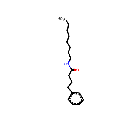 O=C(O)CCCCCCCNC(=O)CCCc1ccccc1